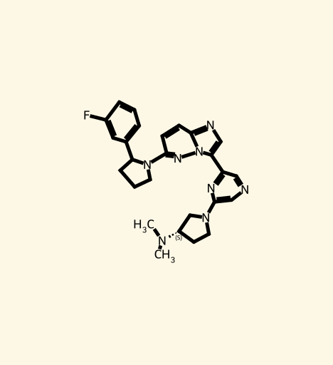 CN(C)[C@H]1CCN(c2cncc(-c3cnc4ccc(N5CCCC5c5cccc(F)c5)nn34)n2)C1